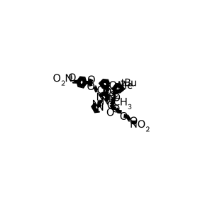 COc1ccccc1Oc1c(OCCOC(=O)c2ccc(CO[N+](=O)[O-])cc2)nc(-c2ncccn2)nc1N(C(C)OC(=O)OCCOCCO[N+](=O)[O-])S(=O)(=O)c1ccc(C(C)(C)C)cc1